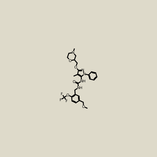 COCc1ccc(OC(F)(F)F)c(CNC(=O)Nc2c(C)c(OCC3CN(C)CCO3)nn2-c2ccccc2)c1